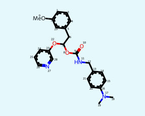 COc1cccc(CC(OC(=O)NCc2ccc(N(C)C)cc2)Oc2cccnc2)c1